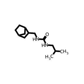 CC(C)CNC(=O)NCC1CC2CCC1C2